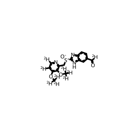 [2H]C(=O)c1ccc2nc([S+]([O-])Cc3nc([2H])c([2H])c(OC([2H])([2H])[2H])c3OC([2H])([2H])[2H])[nH]c2c1